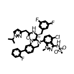 CC(C)n1ccc(CC(=O)N[C@@H](Cc2cc(F)cc(F)c2)C2=Nc3cc(-c4ccccc4F)ccc3CN2c2ccc(Cl)c3c(NS(C)(=O)=O)nn(C)c23)n1